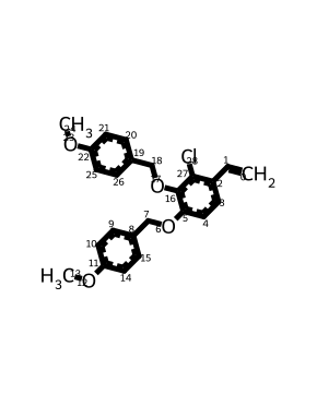 C=Cc1ccc(OCc2ccc(OC)cc2)c(OCc2ccc(OC)cc2)c1Cl